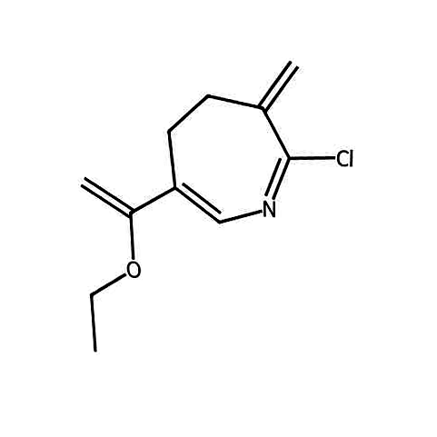 C=C1CCC(C(=C)OCC)=CN=C1Cl